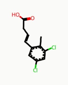 Cc1c(Cl)cc(Cl)cc1C=CCC(=O)O